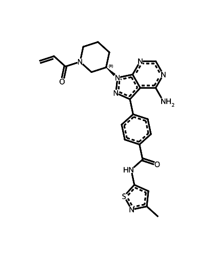 C=CC(=O)N1CCC[C@@H](n2nc(-c3ccc(C(=O)Nc4cc(C)ns4)cc3)c3c(N)ncnc32)C1